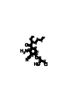 CCCCC(CC)C(=O)c1ccc(OCC(O)CCl)c(C#N)c1N